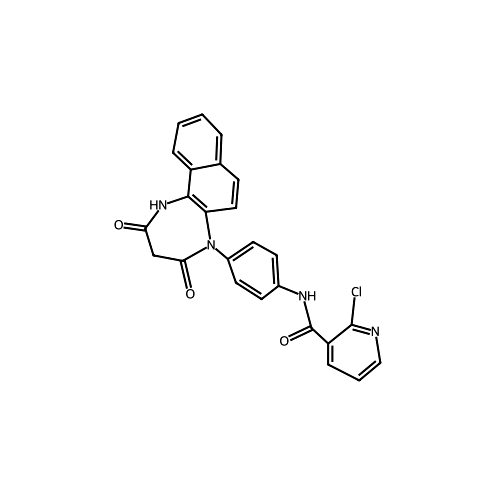 O=C1CC(=O)N(c2ccc(NC(=O)c3cccnc3Cl)cc2)c2ccc3ccccc3c2N1